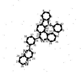 c1ccc(-n2c3ccccc3c3ccc4c(-c5cccc(-c6ccc7ncccc7n6)c5)nc5ccccc5c4c32)cc1